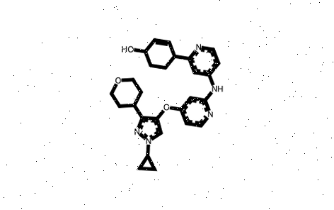 OC1C=CC(c2cc(Nc3cc(Oc4cn(C5CC5)nc4C4CCOCC4)ccn3)ccn2)CC1